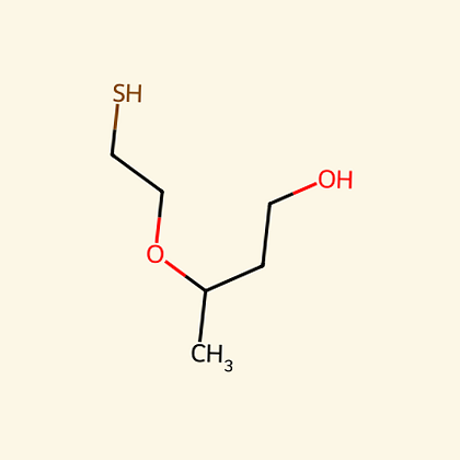 CC(CCO)OCCS